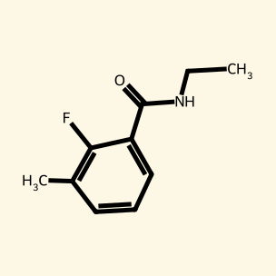 CCNC(=O)c1cccc(C)c1F